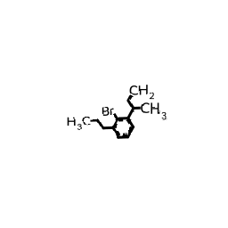 C=C[C](C)c1cccc(CCC)c1Br